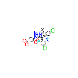 COc1cc(C(=O)O)ccc1NC(=O)[C@@H]1N[C@@H](CC(C)(C)C)[C@](C#N)(c2ccc(Cl)cc2F)[C@H]1c1ccc(Cl)cc1F